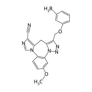 Bc1cccc(OCc2nnn3c2Cc2c(C#N)ncn2-c2ccc(OC)cc2-3)c1